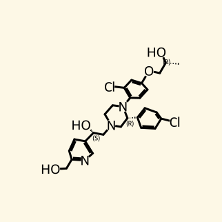 C[C@@H](O)COc1ccc(N2CCN(C[C@@H](O)c3ccc(CO)nc3)C[C@H]2c2ccc(Cl)cc2)c(Cl)c1